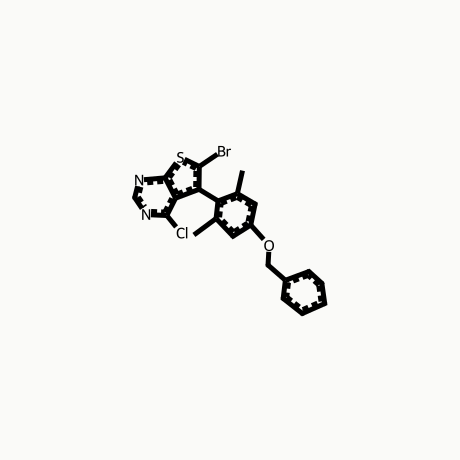 Cc1cc(OCc2ccccc2)cc(C)c1-c1c(Br)sc2ncnc(Cl)c12